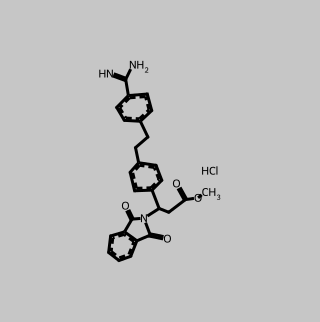 COC(=O)CC(c1ccc(CCc2ccc(C(=N)N)cc2)cc1)N1C(=O)c2ccccc2C1=O.Cl